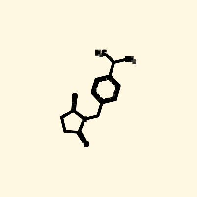 CC(C)c1ccc(CN2C(=O)CCC2=O)cc1